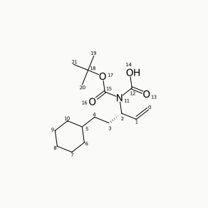 C=C[C@H](CCC1CCCCC1)N(C(=O)O)C(=O)OC(C)(C)C